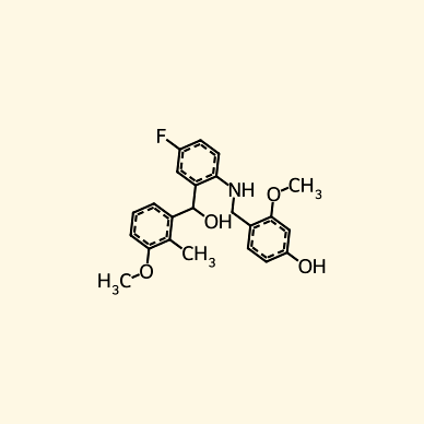 COc1cc(O)ccc1CNc1ccc(F)cc1C(O)c1cccc(OC)c1C